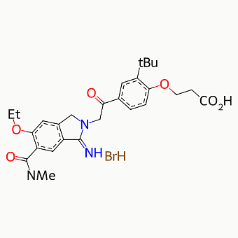 Br.CCOc1cc2c(cc1C(=O)NC)C(=N)N(CC(=O)c1ccc(OCCC(=O)O)c(C(C)(C)C)c1)C2